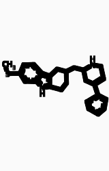 CSc1ccc2c3c([nH]c2c1)CCC(CC1CC(c2ccccc2)=CCN1)C3